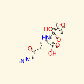 [N-]=[N+]=CC(=O)CC[C@H](NC(=O)C1(O)COC1)C(=O)O